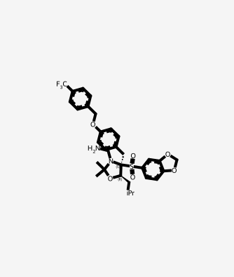 CC(C)C[C@H]1OC(C)(C)N(CN)[C@@]1(Cc1ccc(OCc2ccc(C(F)(F)F)cc2)cc1)S(=O)(=O)c1ccc2c(c1)OCO2